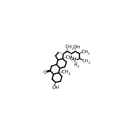 CC(C)[C@H](C)[C@@H](O)[C@H](O)[C@@H](C)[C@H]1CCC2C3CC(=O)C4C[C@H](O)CC[C@]4(C)C3CC[C@@]21C